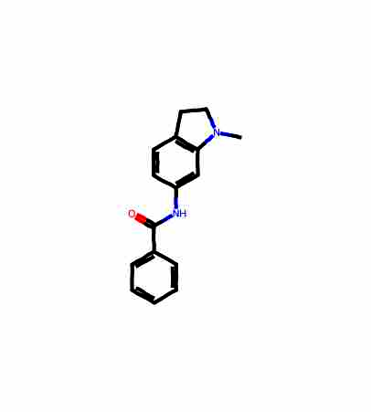 CN1CCc2ccc(NC(=O)c3ccccc3)cc21